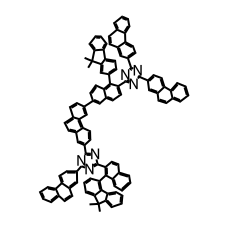 CC1(C)c2ccccc2-c2ccc(-c3c(-c4nc(-c5ccc6c(ccc7ccccc76)c5)nc(-c5ccc6c(ccc7ccccc76)c5)n4)ccc4cc(-c5ccc6ccc7cc(-c8nc(-c9ccc%10c(ccc%11ccccc%11%10)c9)nc(-c9ccc%10ccccc%10c9-c9cccc%10c9-c9ccccc9C%10(C)C)n8)ccc7c6c5)ccc34)cc21